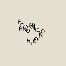 COCC1CCN(C(=O)c2ccc(-n3cc(-c4cc5cc(F)ccc5[nH]c4=O)nn3)cc2)C1